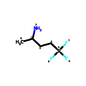 CC(N)CC[Si](F)(F)F